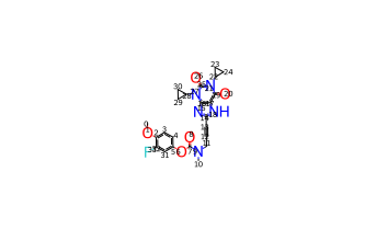 COc1ccc(OC(=O)N(C)CC#Cc2nc3c([nH]2)c(=O)n(C2CC2)c(=O)n3C2CC2)cc1F